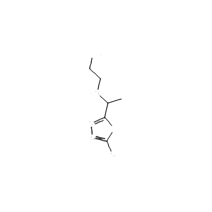 CC(NCCC(C)(C)C)c1nnc(N)s1